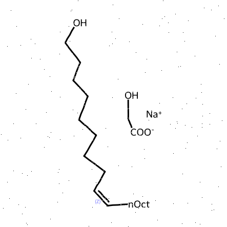 CCCCCCCC/C=C\CCCCCCCCO.O=C([O-])CO.[Na+]